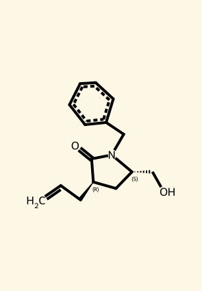 C=CC[C@@H]1C[C@@H](CO)N(Cc2ccccc2)C1=O